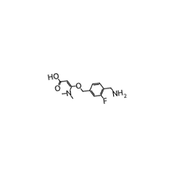 CN(C)C(=CC(=O)O)OCc1ccc(CN)c(F)c1